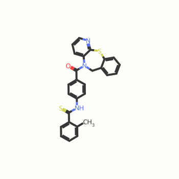 Cc1ccccc1C(=S)Nc1ccc(C(=O)N2Cc3ccccc3Sc3ncccc32)cc1